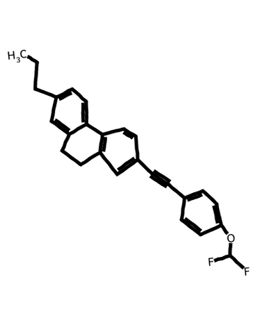 CCCc1ccc2c(c1)CCc1cc(C#Cc3ccc(OC(F)F)cc3)ccc1-2